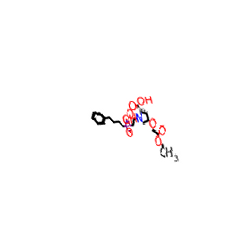 CCOC(=O)COC1C[C@@H](C(=O)O)N(C(=O)CP(=O)(O)CCCCc2ccccc2)C1